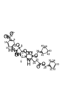 C[C@H](NC(=O)C1(C)Oc2cc([N+](=O)[O-])ccc2NC1=O)C(=O)N[C@H](CCC(=O)OCc1ccccc1)C(=O)OCc1ccccc1